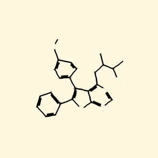 COc1ccc(-c2c(-c3ccccc3)oc3ncnc(CC(C)C(C)O)c23)cc1